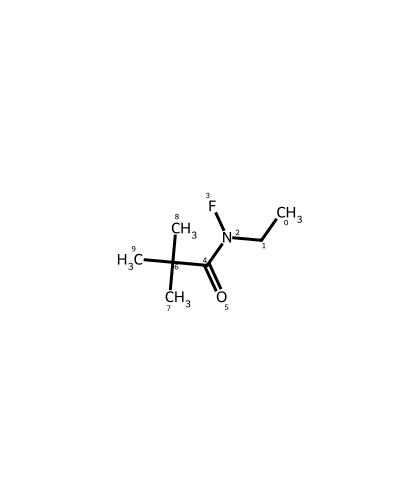 CCN(F)C(=O)C(C)(C)C